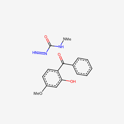 CNNC(=O)N=N.COc1ccc(C(=O)c2ccccc2)c(O)c1